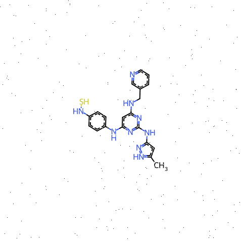 Cc1cc(Nc2nc(NCc3cccnc3)cc(Nc3ccc(NS)cc3)n2)n[nH]1